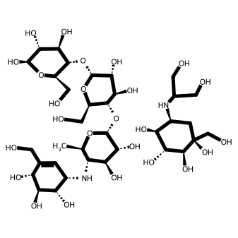 C[C@H]1O[C@H](O[C@H]2[C@H](O)[C@@H](O)[C@@H](O[C@H]3[C@H](O)[C@@H](O)[C@H](O)O[C@@H]3CO)O[C@@H]2CO)[C@H](O)[C@@H](O)[C@@H]1N[C@H]1C=C(CO)[C@@H](O)[C@H](O)[C@H]1O.OCC(CO)N[C@H]1C[C@](O)(CO)[C@@H](O)[C@H](O)[C@H]1O